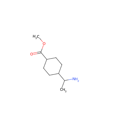 COC(=O)C1CCC(C(C)N)CC1